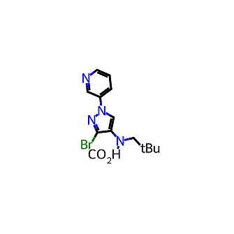 CC(C)(C)CN(C(=O)O)c1cn(-c2cccnc2)nc1Br